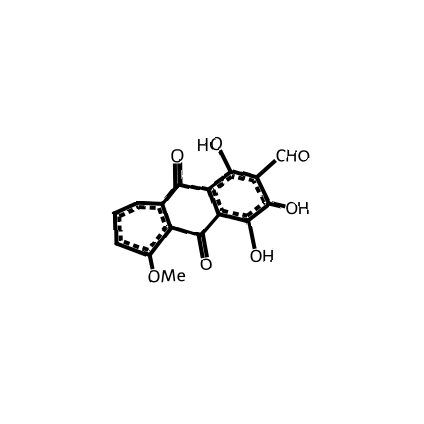 COc1cccc2c1C(=O)c1c(O)c(O)c(C=O)c(O)c1C2=O